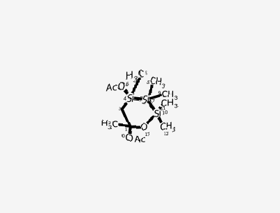 CC(=O)OC1(C)C[Si](C)(OC(C)=O)[Si](C)(C)[Si](C)(C)O1